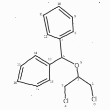 ClCC(CCl)OC(c1ccccc1)c1ccccc1